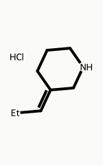 CCC=C1CCCNC1.Cl